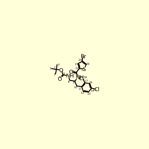 CC(C)(C)OC(=O)NCC(Cc1ccc(Cl)cc1Cl)NC(=O)c1cc(Br)cs1